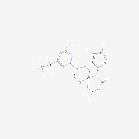 Nc1nc(N2CCC3(CC2)CC(F)CC(=O)N3c2ccc(F)c(F)c2)cc(C(F)(F)C(F)(F)F)n1